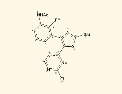 CC(=O)Nc1cccc(-c2nc(C(C)(C)C)sc2-c2ccnc(Cl)n2)c1F